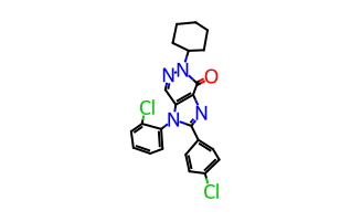 O=c1c2nc(-c3ccc(Cl)cc3)n(-c3ccccc3Cl)c2cnn1C1CCCCC1